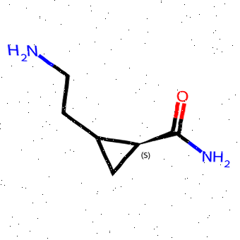 NCCC1C[C@@H]1C(N)=O